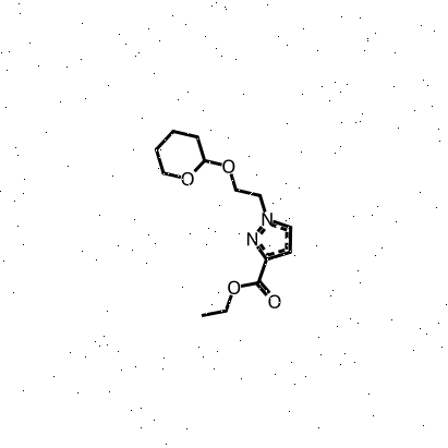 CCOC(=O)c1ccn(CCOC2CCCCO2)n1